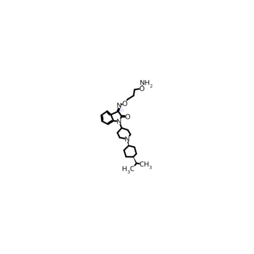 CC(C)[C@H]1CC[C@@H](N2CCC(N3C(=O)/C(=N\OCCCON)c4ccccc43)CC2)CC1